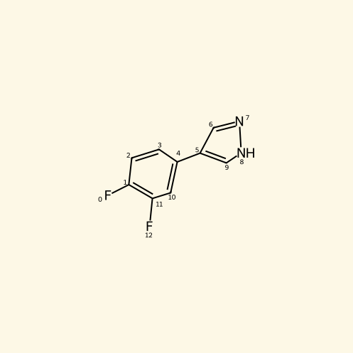 Fc1ccc(-c2cn[nH]c2)cc1F